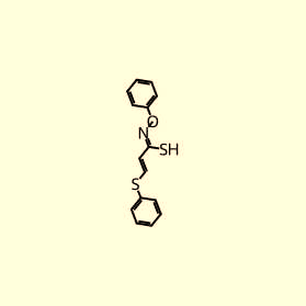 SC(C=CSc1ccccc1)=NOc1ccccc1